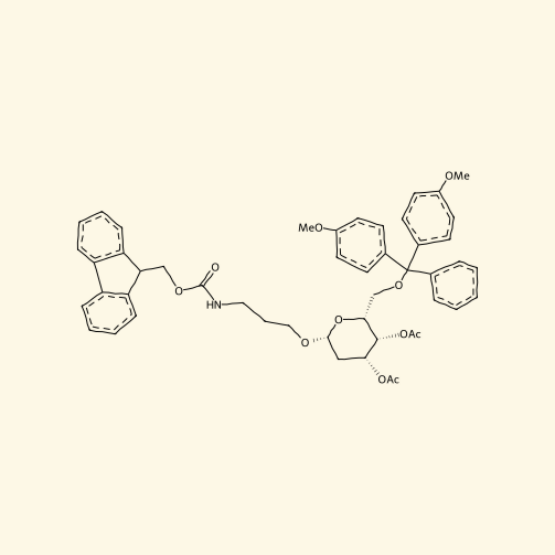 COc1ccc(C(OC[C@H]2O[C@@H](OCCCNC(=O)OCC3c4ccccc4-c4ccccc43)C[C@@H](OC(C)=O)[C@H]2OC(C)=O)(c2ccccc2)c2ccc(OC)cc2)cc1